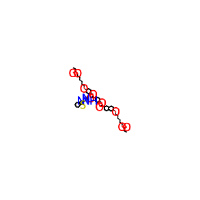 C=CC(=O)OCCCCCCOc1ccc(OC(=O)c2ccc(OC(=O)c3ccc4cc(OCCCCCCOC(=O)C=C)ccc4c3)cc2)c(/C=N/Nc2nc3ccccc3s2)c1